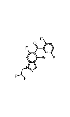 O=C(c1cc(F)ccc1Cl)c1c(F)cc2c(cnn2CC(F)F)c1Br